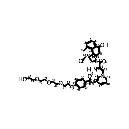 Cc1cccc2c(O)cc3c(c12)[C@H](CCl)CN3C(=O)/C(N)=C/N1C=C(NC(=O)c2ccc(OCCOCCOCCOCCO)cc2)C=CC1